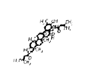 CC[C@@]12C[C@@H](O)[C@]3(COC(=O)C=C(C)C)C(C[C@@H](C)[C@@H](O)[C@@H]3O)C1=CCC1[C@@]3(C)CC[C@H](O)[C@](C)(COC(=O)C=C(C)C)C3CC[C@]12C